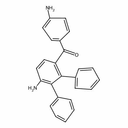 Nc1ccc(C(=O)c2ccc(N)c(-c3ccccc3)c2-c2ccccc2)cc1